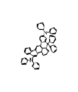 c1ccc(N(c2ccccc2)c2ccc3c(c2)C(c2ccccc2)(c2ccccc2)c2cccc4c2c-3cc2c3ccccc3c(N(c3ccccc3)c3ccccc3)cc42)cc1